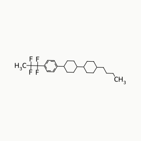 CCCCC1CCC(C2CCC(c3ccc(C(F)(F)C(C)(F)F)cc3)CC2)CC1